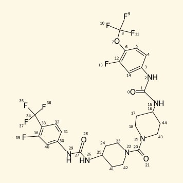 O=C(Nc1ccc(OC(F)(F)F)c(F)c1)NC1CCN(C(=O)N2CCC(NC(=O)Nc3ccc(C(F)(F)F)c(F)c3)CC2)CC1